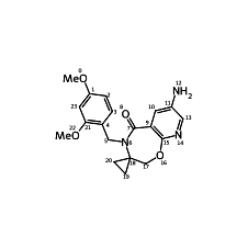 COc1ccc(CN2C(=O)c3cc(N)cnc3OCC23CC3)c(OC)c1